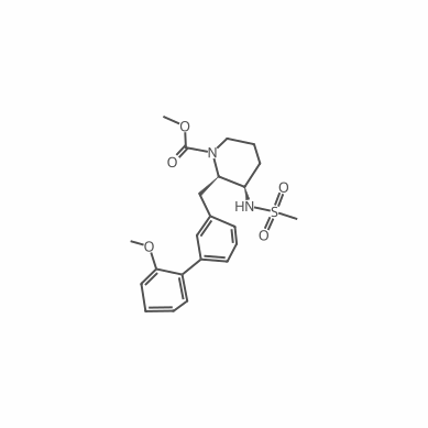 COC(=O)N1CCC[C@@H](NS(C)(=O)=O)[C@H]1Cc1cccc(-c2ccccc2OC)c1